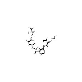 C=CO/C=C(\C(=C)C)C(=O)Nc1nccc2c1CN(Cc1cnc(OCC(F)(F)C(F)F)c(C)c1)C2=O